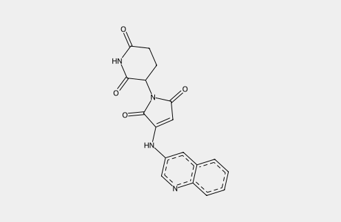 O=C1CCC(N2C(=O)C=C(Nc3cnc4ccccc4c3)C2=O)C(=O)N1